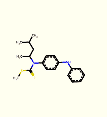 CSC(=S)N(c1ccc(Nc2ccccc2)cc1)C(C)CC(C)C